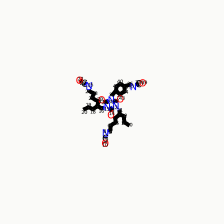 CCCC(CCCCN=C=O)Cn1c(=O)n(CC(CCC)CCCCN=C=O)c(=O)n(CC2CCC(CN=C=O)CC2)c1=O